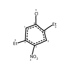 CCc1cc([N+](=O)[O-])c(CC)cc1Cl